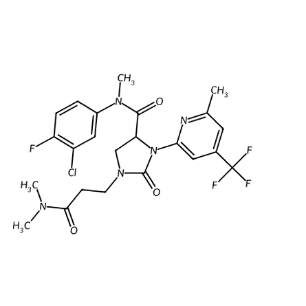 Cc1cc(C(F)(F)F)cc(N2C(=O)N(CCC(=O)N(C)C)CC2C(=O)N(C)c2ccc(F)c(Cl)c2)n1